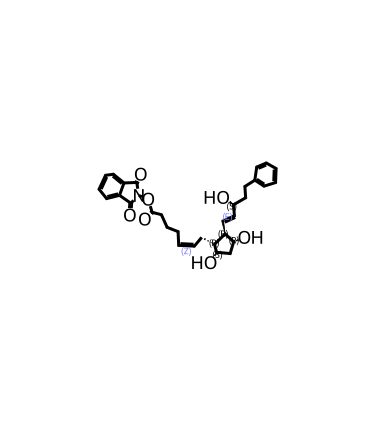 O=C(CCC/C=C\C[C@@H]1[C@@H](/C=C/[C@@H](O)CCc2ccccc2)[C@H](O)C[C@@H]1O)ON1C(=O)c2ccccc2C1=O